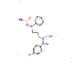 C[C@@H](c1ccc(Br)cc1)N(CCC/C(=N/[S+]([O-])C(C)(C)C)c1ccccc1)C(=O)O